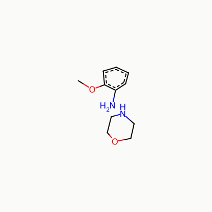 C1COCCN1.COc1ccccc1N